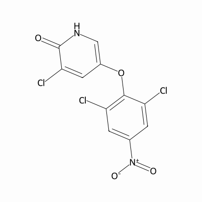 O=c1[nH]cc(Oc2c(Cl)cc([N+](=O)[O-])cc2Cl)cc1Cl